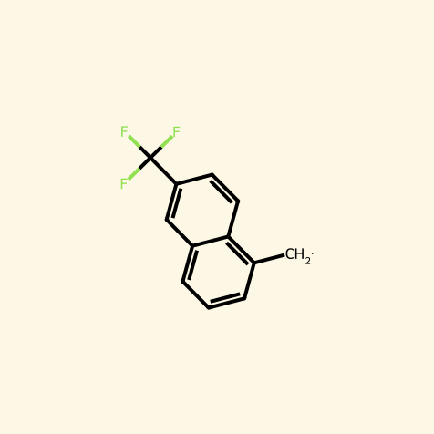 [CH2]c1cccc2cc(C(F)(F)F)ccc12